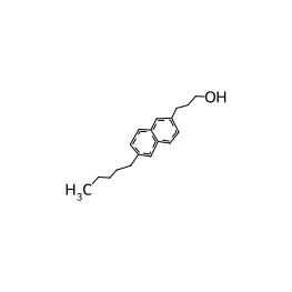 CCCCCc1ccc2cc(CCCO)ccc2c1